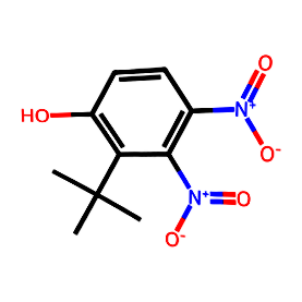 CC(C)(C)c1c(O)ccc([N+](=O)[O-])c1[N+](=O)[O-]